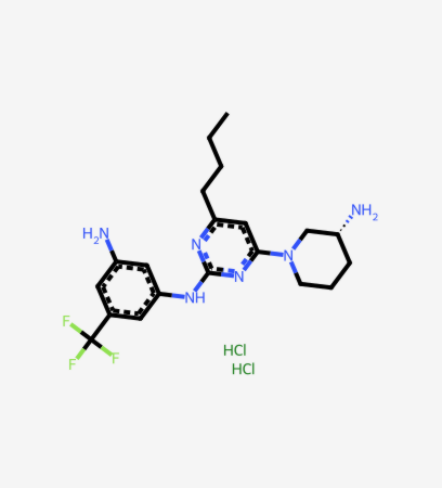 CCCCc1cc(N2CCC[C@@H](N)C2)nc(Nc2cc(N)cc(C(F)(F)F)c2)n1.Cl.Cl